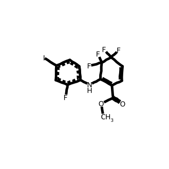 COC(=O)C1=C(Nc2ccc(I)cc2F)C(F)(F)C(F)(F)C=C1